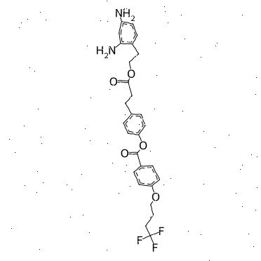 Nc1ccc(CCOC(=O)CCc2ccc(OC(=O)c3ccc(OCCCC(F)(F)F)cc3)cc2)c(N)c1